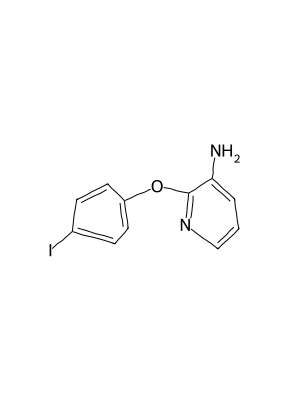 Nc1cccnc1Oc1ccc(I)cc1